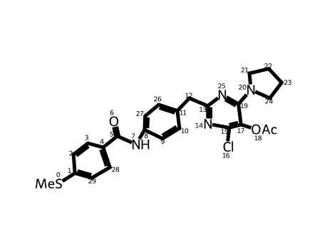 CSc1ccc(C(=O)Nc2ccc(Cc3nc(Cl)c(OC(C)=O)c(N4CCCC4)n3)cc2)cc1